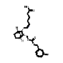 O=C(O)CCC/C=C\C[C@@H]1[C@H](COC(=S)NCc2cccc(F)c2)[C@@H]2CC[C@H]1O2